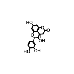 O=C1C[C@H]2c3c(cc(O)cc3O[C@H](c3ccc(O)c(O)c3)[C@@H]2O)O1